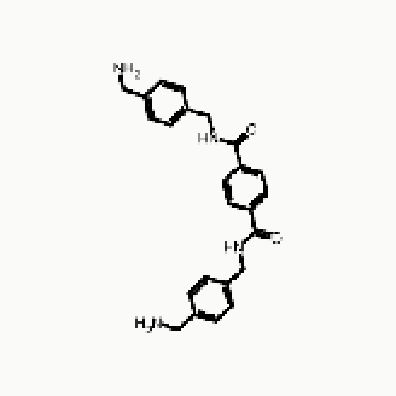 NCc1ccc(CNC(=O)c2ccc(C(=O)NCc3ccc(CN)cc3)cc2)cc1